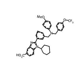 COc1ccc(N(Cc2ccc(OC(F)(F)F)cc2)Cc2cccc(-c3nc4cc(C(=O)O)ccc4n3C3CCCCC3)c2)cc1